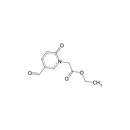 CCOC(=O)Cn1cc(C=O)ccc1=O